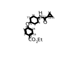 CCOC(=O)c1ccc(OC2CCC(NC(=O)C3CC3)CC2)cc1